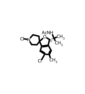 CC(=O)NC(C)(C)[C@H]1OC2(CCN(Cl)CC2)c2cc(Cl)c(C)cc21